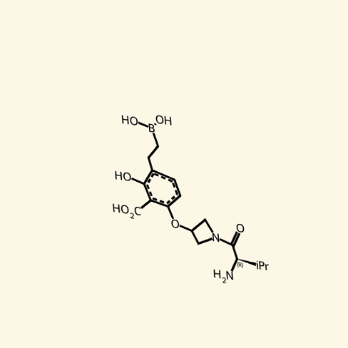 CC(C)[C@@H](N)C(=O)N1CC(Oc2ccc(CCB(O)O)c(O)c2C(=O)O)C1